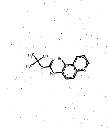 CC(C)(C)OC(=O)Nc1ccc2ncccc2c1Br